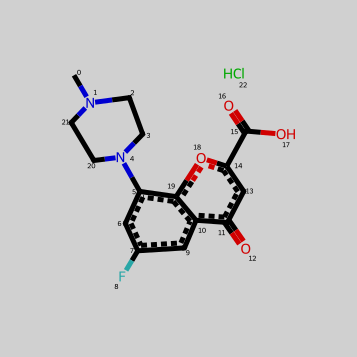 CN1CCN(c2cc(F)cc3c(=O)cc(C(=O)O)oc23)CC1.Cl